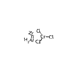 [AlH3].[Cl][Cr]([Cl])[Cl].[Ti].[Zr]